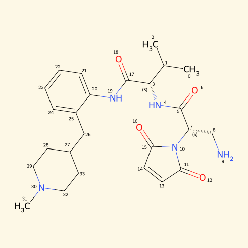 CC(C)[C@H](NC(=O)[C@H](CN)N1C(=O)C=CC1=O)C(=O)Nc1ccccc1CC1CCN(C)CC1